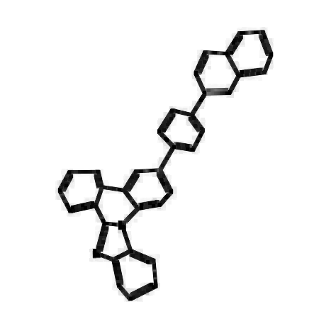 c1ccc2cc(-c3ccc(-c4ccc5c(c4)c4ccccc4c4nc6ccccc6n54)cc3)ccc2c1